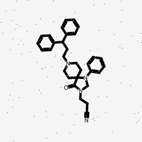 N#CCCN1CN(c2ccccc2)C2(CCN(CCC(c3ccccc3)c3ccccc3)CC2)C1=O